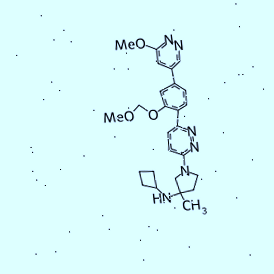 COCOc1cc(-c2cnnc(OC)c2)ccc1-c1ccc(N2CCC(C)(NC3CCC3)C2)nn1